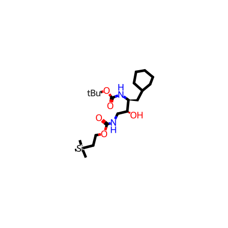 CC(C)(C)OC(=O)N[C@@H](CC1CCCCC1)[C@@H](O)CNC(=O)OCC[Si](C)(C)C